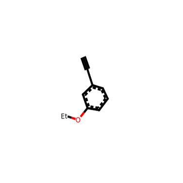 C#Cc1cccc(OCC)c1